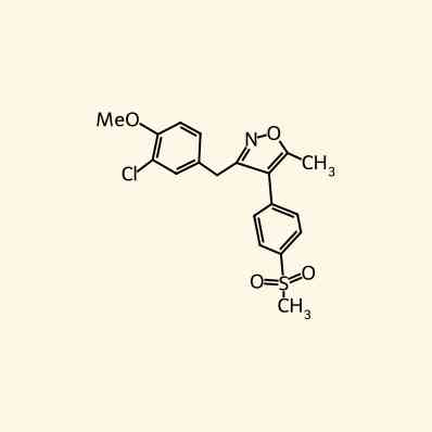 COc1ccc(Cc2noc(C)c2-c2ccc(S(C)(=O)=O)cc2)cc1Cl